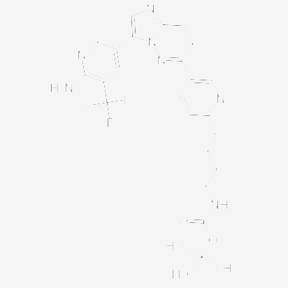 CC(C)(C)OC(=O)NCCCOc1ccc(-c2ccc3ncc(-c4cnc(N)c(C(F)(F)F)c4)n3n2)cn1